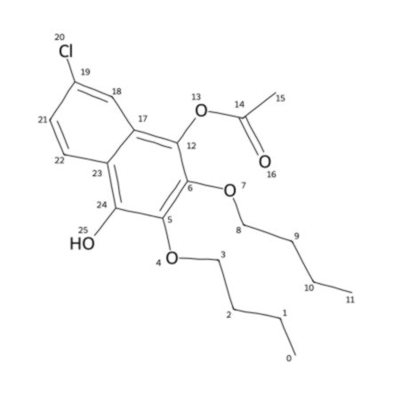 CCCCOc1c(OCCCC)c(OC(C)=O)c2cc(Cl)ccc2c1O